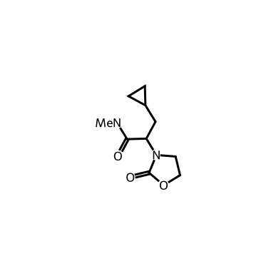 CNC(=O)C(CC1CC1)N1CCOC1=O